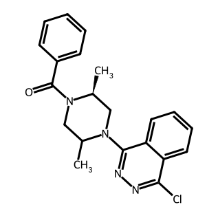 CC1CN(C(=O)c2ccccc2)[C@@H](C)CN1c1nnc(Cl)c2ccccc12